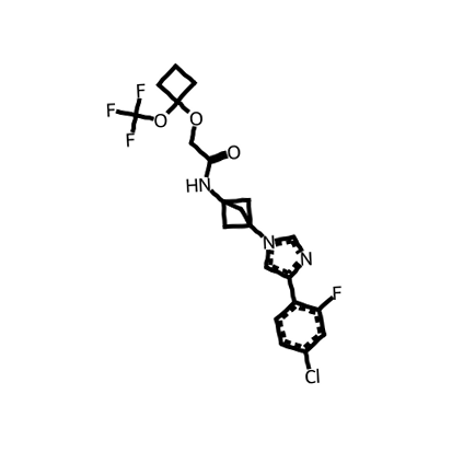 O=C(COC1(OC(F)(F)F)CCC1)NC12CC(n3cnc(-c4ccc(Cl)cc4F)c3)(C1)C2